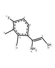 Cc1c(F)ccc(/C(N)=C/S)c1F